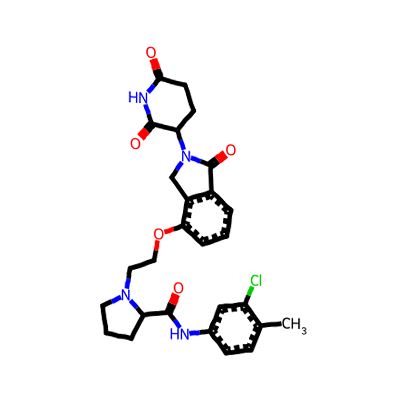 Cc1ccc(NC(=O)C2CCCN2CCOc2cccc3c2CN(C2CCC(=O)NC2=O)C3=O)cc1Cl